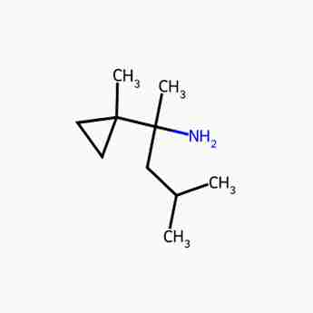 CC(C)CC(C)(N)C1(C)CC1